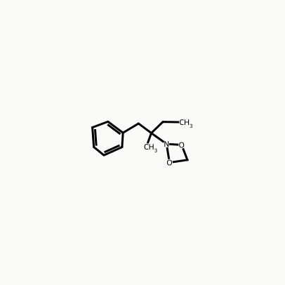 CCC(C)(Cc1ccccc1)N1OCO1